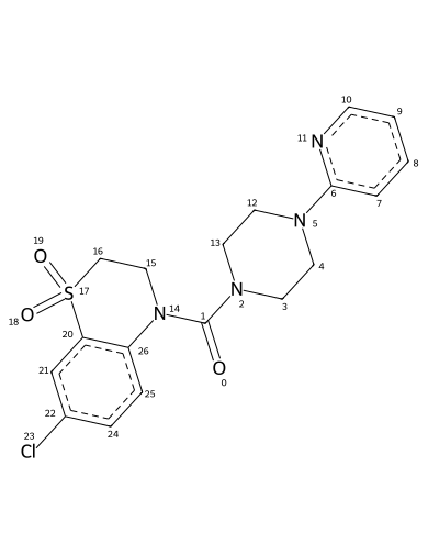 O=C(N1CCN(c2ccccn2)CC1)N1CCS(=O)(=O)c2cc(Cl)ccc21